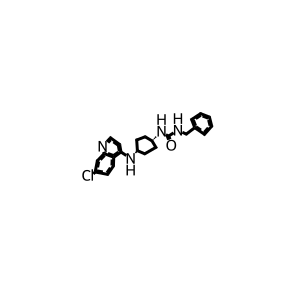 O=C(NCc1ccccc1)N[C@H]1CC[C@@H](Nc2ccnc3cc(Cl)ccc23)CC1